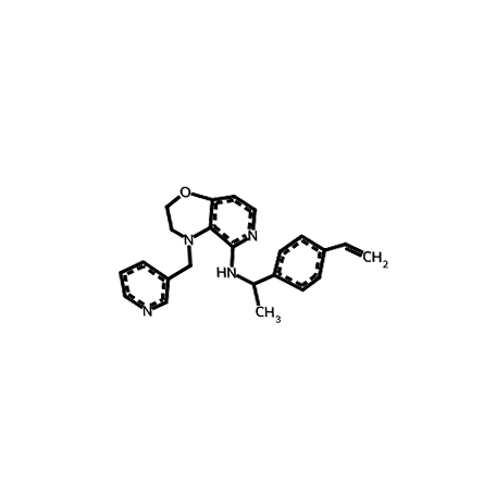 C=Cc1ccc(C(C)Nc2nccc3c2N(Cc2cccnc2)CCO3)cc1